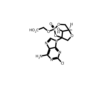 Nc1nc(Cl)nc2c1ncn2C12CO[C@H](COP(=O)(OCC(=O)O)O1)C2O